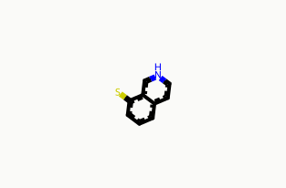 S=c1cccc2cc[nH]cc1-2